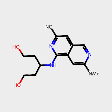 CNc1cc2c(NC(CCO)CCO)nc(C#N)cc2cn1